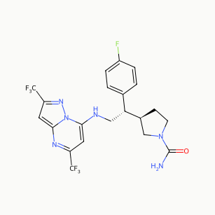 NC(=O)N1CC[C@H]([C@H](CNc2cc(C(F)(F)F)nc3cc(C(F)(F)F)nn23)c2ccc(F)cc2)C1